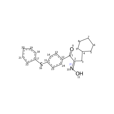 O=C(/C(CC1CCCCC1)=N/O)c1ccc(Sc2ccccc2)cc1